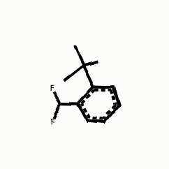 CC(C)(C)c1cc[c]cc1C(F)F